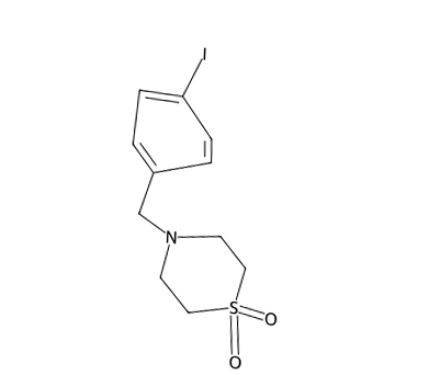 O=S1(=O)CCN(Cc2ccc(I)cc2)CC1